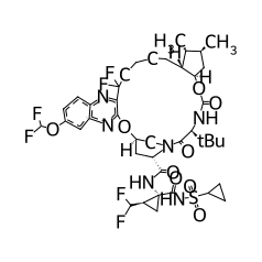 C[C@@H]1[C@H]2CCCCC(F)(F)c3nc4ccc(OC(F)F)cc4nc3O[C@@H]3C[C@@H](C(=O)N[C@]4(C(=O)NS(=O)(=O)C5CC5)C[C@H]4C(F)F)N(C3)C(=O)[C@H](C(C)(C)C)NC(=O)O[C@@H]2C[C@@H]1C